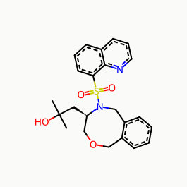 CC(C)(O)C[C@@H]1COCc2ccccc2CN1S(=O)(=O)c1cccc2cccnc12